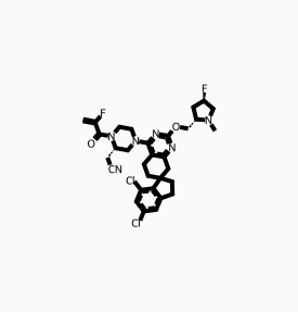 C=C(F)C(=O)N1CCN(c2nc(OC[C@@H]3C[C@@H](F)CN3C)nc3c2CCC2(CCc4cc(Cl)cc(Cl)c42)C3)C[C@@H]1CC#N